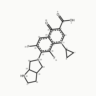 O=C(O)c1cn(C2CC2)c2c(F)c(N3CC4CCNC4C3)c(F)cc2c1=O